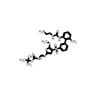 CSc1sc(/N=C/NC(=O)OC(C)(C)C)cc1S(=O)(=O)c1cccc(-c2c(C)cccc2NC(=O)NCCN)c1